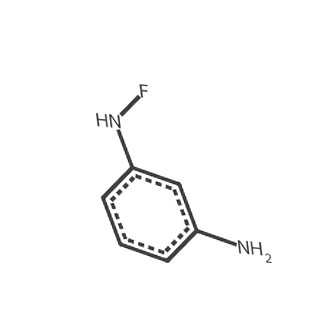 Nc1cccc(NF)c1